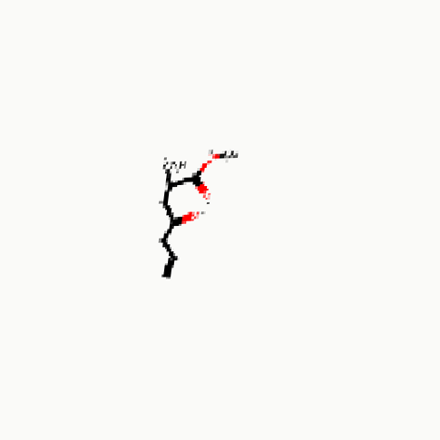 C=CCC(=O)CC(C(=O)O)C(=O)OC(C)(C)C